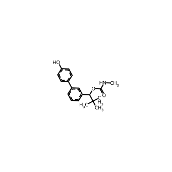 CNC(=O)OC(c1cccc(-c2ccc(O)cc2)c1)C(C)(C)C